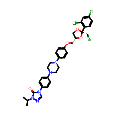 CC(C)n1ncn(-c2ccc(N3CCN(c4ccc(OC[C@@H]5CO[C@@](CBr)(c6ccc(Cl)cc6Cl)O5)cc4)CC3)cc2)c1=O